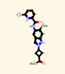 COC(=O)C1CC(n2cc3cc(NC(=O)c4cccc(C(F)(F)F)n4)c(OC)cc3n2)C1